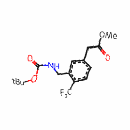 COC(=O)Cc1ccc(C(F)(F)F)c(CNC(=O)OC(C)(C)C)c1